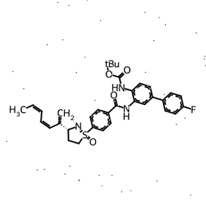 C=C(/C=C\C=C/C)[C@H]1CCS(=O)(c2ccc(C(=O)Nc3cc(-c4ccc(F)cc4)ccc3NC(=O)OC(C)(C)C)cc2)=N1